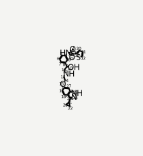 O=S(=O)(Nc1cccc(C(O)CNCCOc2ccc3c(C4CC4)n[nH]c3c2)c1)c1cccs1